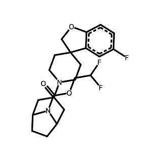 O=C(OCC(F)F)N1C2CCC1CC(N1CCC3(CC1)COc1ccc(F)cc13)C2